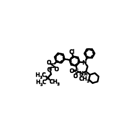 CN1[C@H](C2CCCCC2)CN(c2ccccc2)c2cc(Cl)c(-c3cccc(S(=O)(=O)OCC(C)(C)C)c3)cc2S1(=O)=O